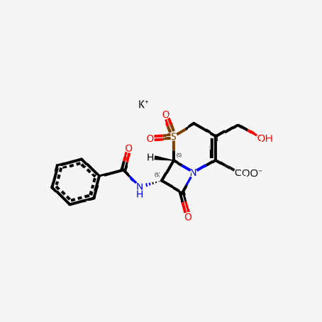 O=C([O-])C1=C(CO)CS(=O)(=O)[C@H]2[C@@H](NC(=O)c3ccccc3)C(=O)N12.[K+]